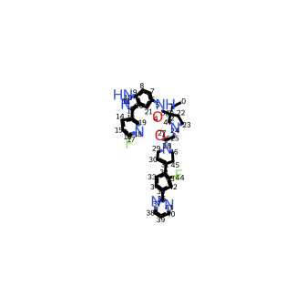 CC[C@@]1(C(=O)Nc2ccc3[nH]nc(-c4ccc(F)nc4)c3c2)CCN(CC(=O)N2CC=C(c3ccc(-c4ncccn4)cc3F)CC2)C1